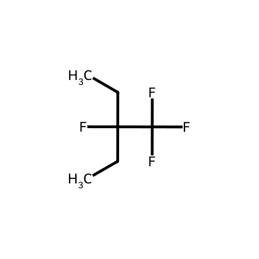 CCC(F)(CC)C(F)(F)F